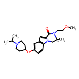 COCCN1C(=O)c2cc3cc(OC4CCN(C(C)C)CC4)ccc3n2C[C@@H]1C